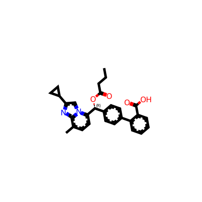 CCCC(=O)O[C@H](c1ccc(-c2ccccc2C(=O)O)cc1)c1ccc(C)c2nc(C3CC3)cn12